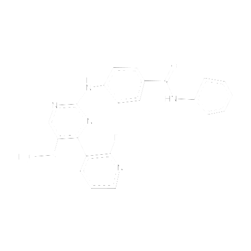 CSc1cnc(Nc2ccc(C(=O)Nc3ccccc3)cc2)nc1-c1cccnc1F